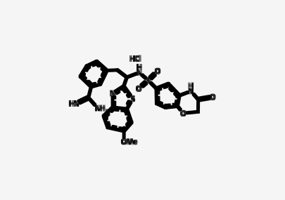 COc1ccc2nc(C(Cc3cccc(C(=N)N)c3)NS(=O)(=O)c3ccc4c(c3)NC(=O)CO4)sc2c1.Cl